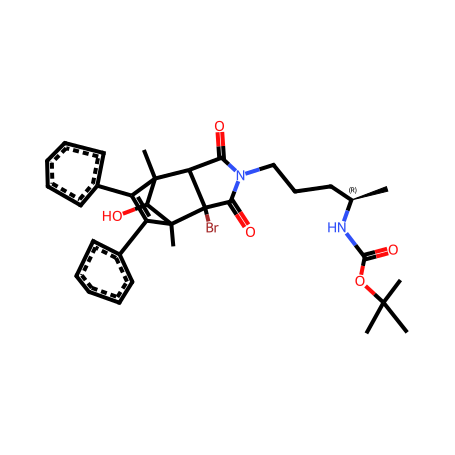 C[C@H](CCCN1C(=O)C2C3(C)C(c4ccccc4)=C(c4ccccc4)C(C)(C3O)C2(Br)C1=O)NC(=O)OC(C)(C)C